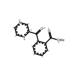 COC(=O)c1ccccc1C(=O)c1cnccn1